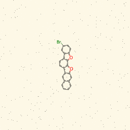 Brc1ccc2oc3c(ccc4c5cc6ccccc6cc5oc43)c2c1